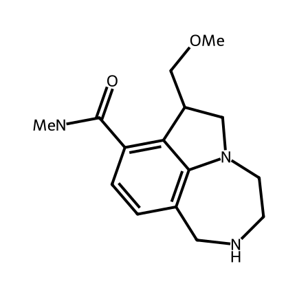 CNC(=O)c1ccc2c3c1C(COC)CN3CCNC2